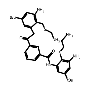 CC(C)(C)c1cc(N)c(CSCN)c(CC(=O)c2cccc(C(=O)Nc3cc(C(C)(C)C)cc(N)c3SCCN)c2)c1